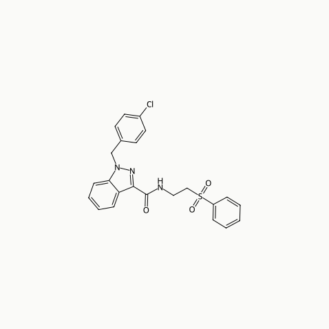 O=C(NCCS(=O)(=O)c1ccccc1)c1nn(Cc2ccc(Cl)cc2)c2ccccc12